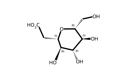 O=C(O)C[C@@H]1O[C@H](CO)[C@@H](O)[C@H](O)[C@H]1O